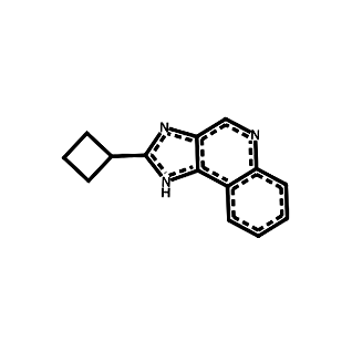 c1ccc2c(c1)ncc1nc(C3CCC3)[nH]c12